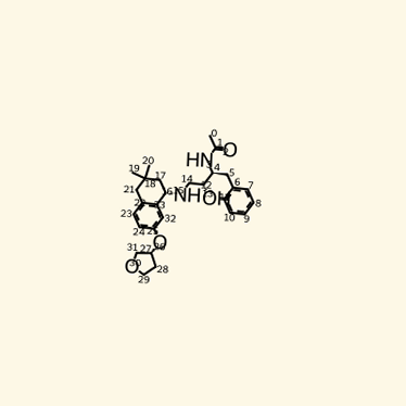 CC(=O)N[C@@H](Cc1ccccc1)[C@H](O)CN[C@H]1CC(C)(C)Cc2ccc(O[C@H]3CCOC3)cc21